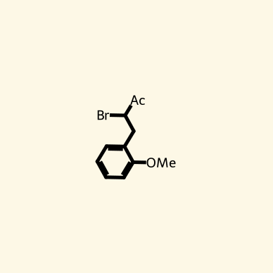 COc1ccccc1CC(Br)C(C)=O